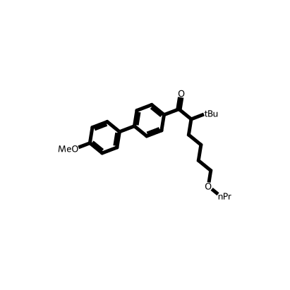 CCCOCCCCC(C(=O)c1ccc(-c2ccc(OC)cc2)cc1)C(C)(C)C